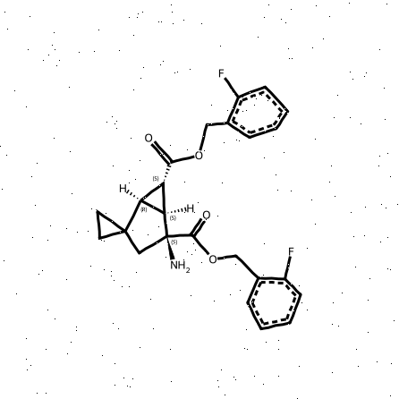 N[C@@]1(C(=O)OCc2ccccc2F)CC2(CC2)[C@H]2[C@H](C(=O)OCc3ccccc3F)[C@H]21